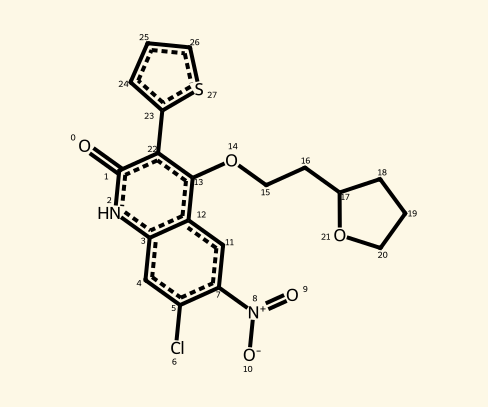 O=c1[nH]c2cc(Cl)c([N+](=O)[O-])cc2c(OCCC2CCCO2)c1-c1cccs1